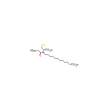 CCCCCCCCCCCC(=O)N(CCCCCCCCCCCC(=O)O)[C@@H](CS)C(=O)O